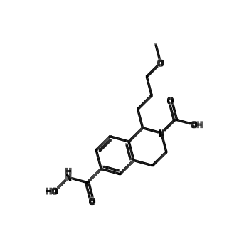 COCCCC1c2ccc(C(=O)NO)cc2CCN1C(=O)O